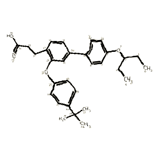 CCC(CC)Oc1ccc(-c2ccc(CCC(=O)O)c(Oc3ccc(C(C)(C)C)cc3)c2)cc1